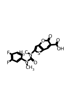 CN(C(=O)N(C)c1cc2oc(=O)c(C(=O)O)cc2s1)c1ccc(F)c(F)c1